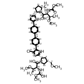 COC[C@H]1C[C@@H](c2nc(Cl)c(-c3ccc(-c4ccc(-c5cnc([C@@H]6CC[C@H](C)N6C(O)[C@@H](NC(=O)OC)[C@@H](C)OC)[nH]5)cc4)cc3)[nH]2)N(C(O)[C@@H](NC(O)OC)[C@@H](C)OC)C1